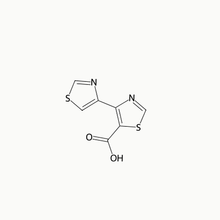 O=C(O)c1scnc1-c1cscn1